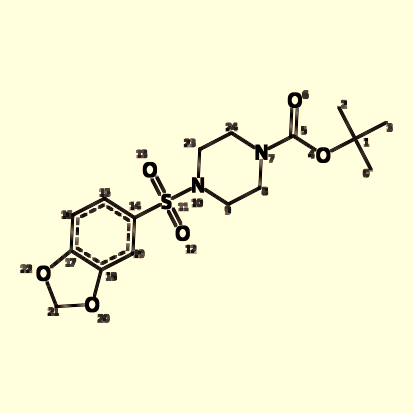 CC(C)(C)OC(=O)N1CCN(S(=O)(=O)c2ccc3c(c2)OCO3)CC1